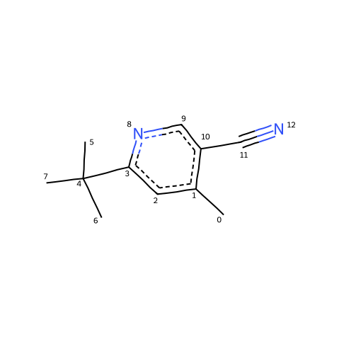 Cc1cc(C(C)(C)C)ncc1C#N